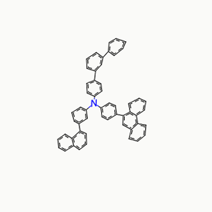 c1ccc(-c2cccc(-c3ccc(N(c4ccc(-c5cc6ccccc6c6ccccc56)cc4)c4cccc(-c5cccc6ccccc56)c4)cc3)c2)cc1